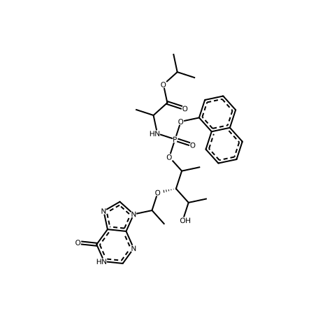 CC(C)OC(=O)C(C)NP(=O)(Oc1cccc2ccccc12)OC(C)[C@@H](OC(C)n1cnc2c(=O)[nH]cnc21)C(C)O